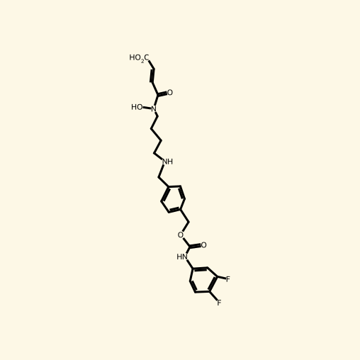 O=C(O)/C=C/C(=O)N(O)CCCCNCc1ccc(COC(=O)Nc2ccc(F)c(F)c2)cc1